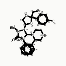 CCC(C)N1C(=O)N(c2ccccc2)C(N2CCNCC2c2ccccc2OC)N1C1COC(CBr)(c2ccc(Cl)cc2)O1